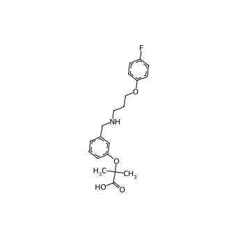 CC(C)(Oc1cccc(CNCCCOc2ccc(F)cc2)c1)C(=O)O